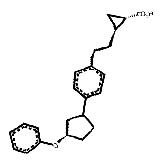 O=C(O)[C@H]1C[C@@H]1CCc1ccc(C2CC[C@@H](Oc3ccccc3)C2)cc1